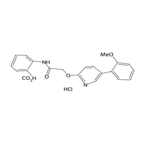 COc1ccccc1-c1ccc(OCC(=O)Nc2ccccc2C(=O)O)nc1.Cl